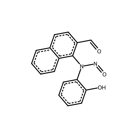 O=Cc1ccc2ccccc2c1N(N=O)c1ccccc1O